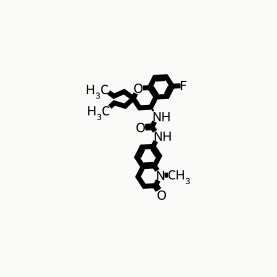 CCCC1(CCC)C[C@@H](NC(=O)Nc2ccc3c(c2)N(C)C(=O)CC3)c2cc(F)ccc2O1